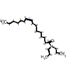 CCCCCC/C=C\CCCCCCCC(=O)N(CCC)CCC